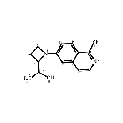 N#Cc1nccc2cc(N3CCC3[C@@H](O)C(F)(F)F)ccc12